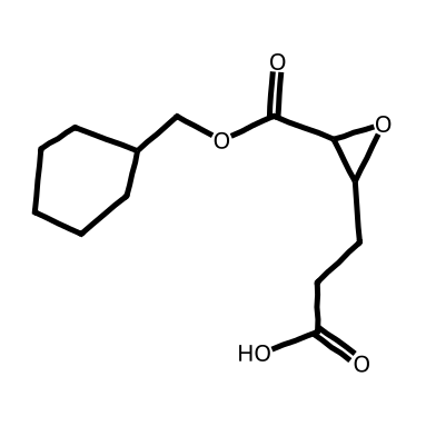 O=C(O)CCC1OC1C(=O)OCC1CCCCC1